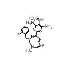 CN1\C=C(F)/C=C/C(c2nc(N)c(NC(=O)O)c(N)n2)=N\N(Cc2ccccc2F)C1